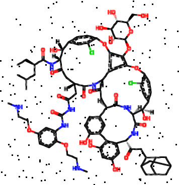 CC[C@H](CC(C)C)C(=O)N[C@H]1C(=O)C[C@@H](CC(=O)NC(=O)Nc2cc(OCCNC)ccc2OCCNC)C(=O)N[C@H]2C(=O)C[C@H]3C(=O)N[C@H](C(=O)N[C@H](C(=O)CC4C5CC6CC(C5)CC4C6)c4cc(O)cc(O)c4-c4cc3ccc4O)[C@H](O)c3ccc(c(Cl)c3)Oc3cc2cc(c3O[C@@H]2O[C@H](CO)[C@@H](O)[C@H](O)[C@H]2O)Oc2ccc(cc2Cl)[C@H]1O